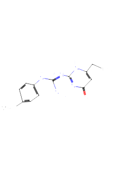 COc1ccc(N/C(N)=N/c2nc(=O)cc(CC(C)(C)C)[nH]2)cc1